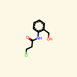 O=C(CCCl)Nc1ccccc1CO